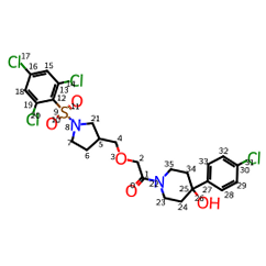 O=C(COCC1CCN(S(=O)(=O)c2c(Cl)cc(Cl)cc2Cl)C1)N1CCC(O)(c2ccc(Cl)cc2)CC1